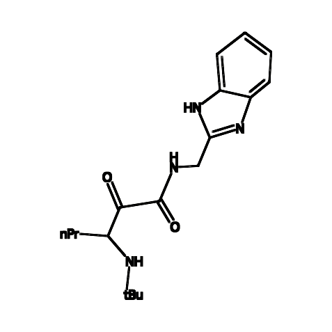 CCCC(NC(C)(C)C)C(=O)C(=O)NCc1nc2ccccc2[nH]1